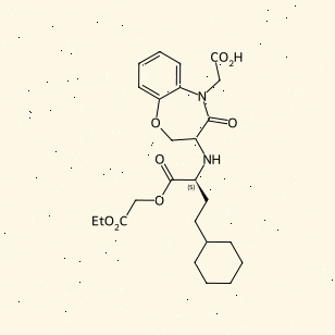 CCOC(=O)COC(=O)[C@H](CCC1CCCCC1)NC1COc2ccccc2N(CC(=O)O)C1=O